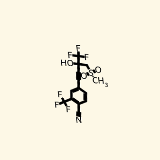 CS(=O)(=O)CC(O)(C#Cc1ccc(C#N)c(C(F)(F)F)c1)C(F)(F)F